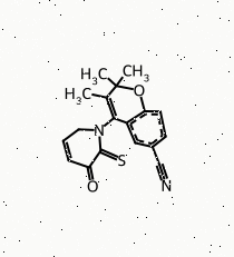 CC1=C(N2CC=CC(=O)C2=S)c2cc(C#N)ccc2OC1(C)C